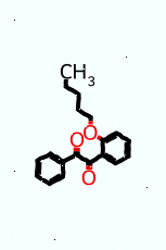 CCCCCOc1ccccc1C(=O)C(=O)c1ccccc1